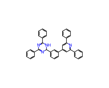 c1ccc(C2=NC(c3cccc(-c4cc(-c5ccccc5)nc(-c5ccccc5)c4)c3)NC(c3ccccc3)=N2)cc1